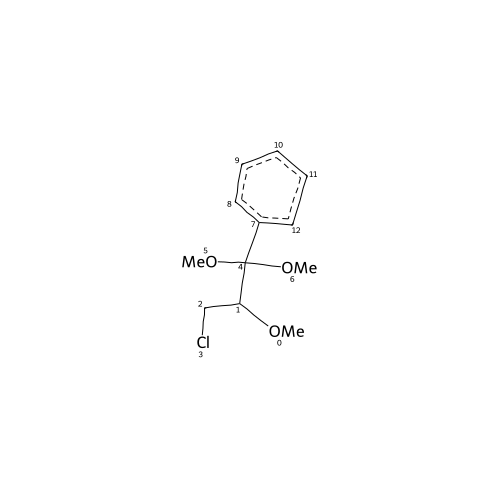 COC(CCl)C(OC)(OC)c1ccccc1